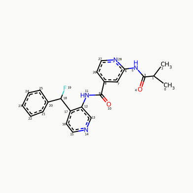 CC(C)C(=O)Nc1cc(C(=O)Nc2cnccc2C(F)c2ccccc2)ccn1